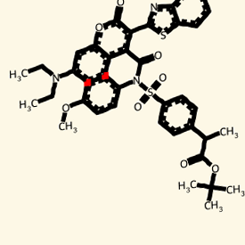 CCN(CC)c1ccc2c(C(=O)N(c3ccc(OC)cc3)S(=O)(=O)c3ccc(C(C)C(=O)OC(C)(C)C)cc3)c(-c3nc4ccccc4s3)c(=O)oc2c1